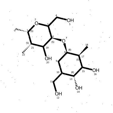 C[C@@H]1OC(CO)[C@@H](O[C@@H]2CC(CO)[C@@H](O)C(O)[C@@H]2C)C(O)[C@@H]1C